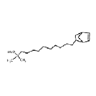 CO[Si](C)(C)CCCCCCCCCCC1CC2C=CC1C2